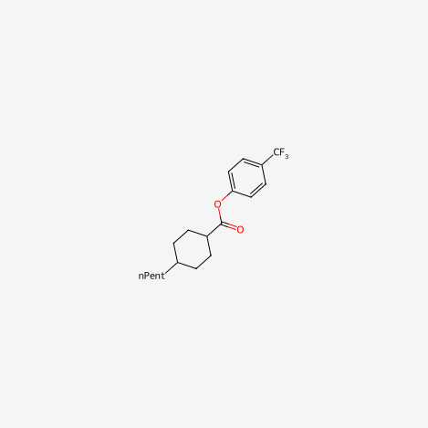 CCCCCC1CCC(C(=O)Oc2ccc(C(F)(F)F)cc2)CC1